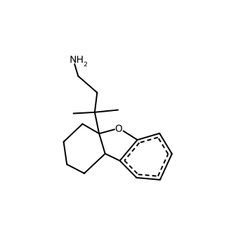 CC(C)(CCN)C12CCCCC1c1ccccc1O2